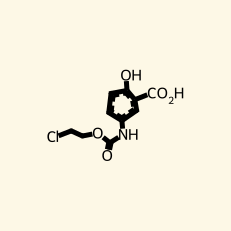 O=C(Nc1ccc(O)c(C(=O)O)c1)OCCCl